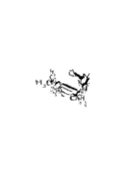 CC(C)(C)OC(=O)C[S+]([O-])C[C@@H](Nc1nc(Cl)ncc1F)C(C)(C)C